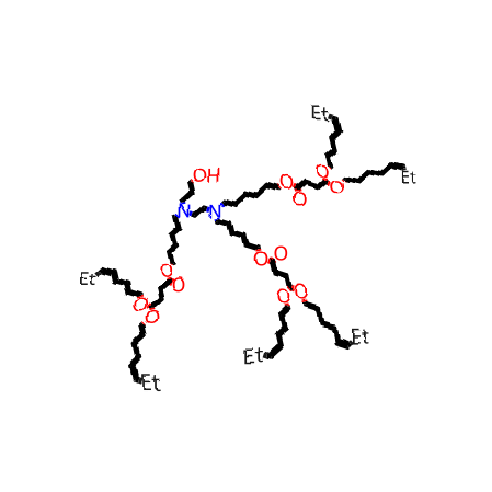 CC/C=C\CCCCOC(CCC(=O)OCCCCCCN(CCCO)CCN(CCCCCCOC(=O)CCC(OCCCC/C=C\CC)OCCCC/C=C\CC)CCCCCCOC(=O)CCC(OCCCC/C=C\CC)OCCCC/C=C\CC)OCCCC/C=C\CC